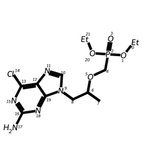 CCOP(=O)(COC(C)Cn1cnc2c(Cl)nc(N)nc21)OCC